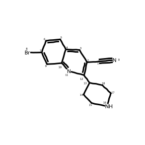 N#Cc1cc2ccc(Br)cc2nc1C1CCNCC1